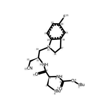 CC(C)(C)C[C@H](NC(=O)OC(C)(C)C)C(=O)N[C@@H](CC#N)CN1CCc2cc(F)ccc21